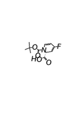 CC(C)(C)OC(=O)N1C=CC(F)=C[C@@H]1C(=O)O